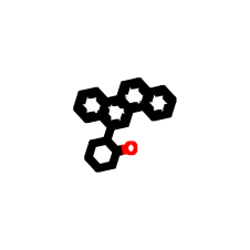 O=C1CCCCC1c1cc2c3ccccc3ccc2c2ccccc12